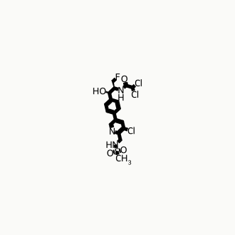 CS(=O)(=O)NCc1ncc(-c2ccc([C@@H](O)[C@@H](CF)NC(=O)C(Cl)Cl)cc2)cc1Cl